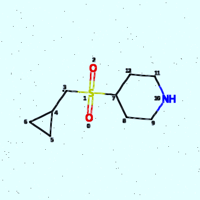 O=S(=O)([CH]C1CC1)C1CCNCC1